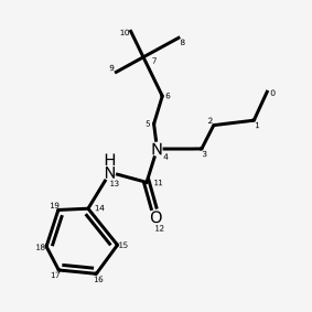 CCCCN(CCC(C)(C)C)C(=O)Nc1ccccc1